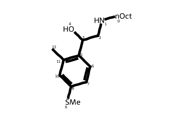 CCCCCCCCNCC(O)c1ccc(SC)cc1C